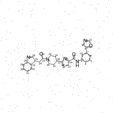 O=C(Nc1cccc(-c2cnco2)c1)c1csc(C2CCN(C(=O)CC3C=Nc4ccccc43)CC2)n1